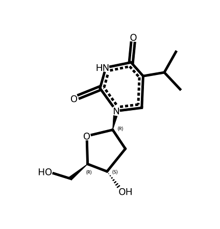 CC(C)c1cn([C@H]2C[C@H](O)[C@@H](CO)O2)c(=O)[nH]c1=O